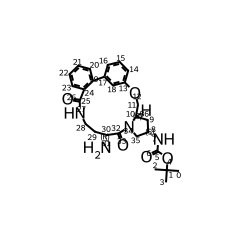 CC(C)(C)OC(=O)N[C@H]1C[C@H]2COc3cccc(c3)-c3ccccc3C(=O)NCC[C@@H](N)C(=O)N2C1